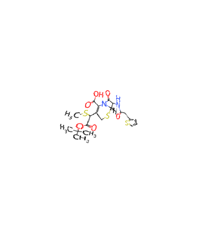 CSC(C(=O)OC(C)(C)C)C1=C(C(=O)O)N2C(=O)C(NC(=O)Cc3cccs3)[C@@H]2SC1